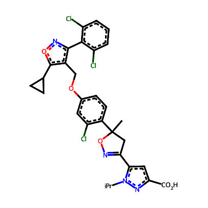 CC(C)n1nc(C(=O)O)cc1C1=NOC(C)(c2ccc(OCc3c(-c4c(Cl)cccc4Cl)noc3C3CC3)cc2Cl)C1